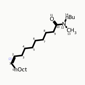 CCCCCCCC/C=C\CCCCCCCC(=O)N(C)CCCC